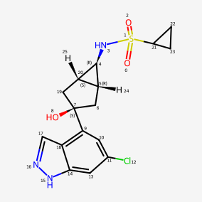 O=S(=O)(N[C@H]1[C@@H]2C[C@](O)(c3cc(Cl)cc4[nH]ncc34)C[C@@H]21)C1CC1